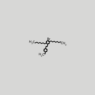 C=Cc1ccc(C=Cc2cc(CCCCCCCC)c(Br)cc2CCCCCCCC)cc1